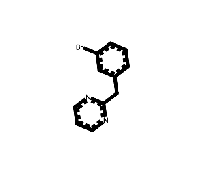 Brc1cccc(Cc2ncccn2)c1